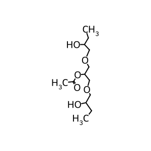 CCC(O)COCC(COCC(O)CC)OC(C)=O